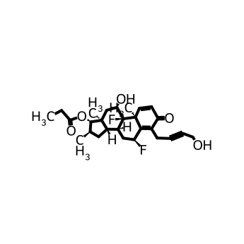 CCC(=O)O[C@H]1[C@H](C)C[C@H]2[C@@H]3C[C@H](F)C4=C(CC#CCO)C(=O)C=C[C@]4(C)[C@@]3(F)[C@@H](O)C[C@@]21C